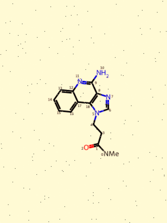 CNC(=O)CCn1cnc2c(N)nc3ccccc3c21